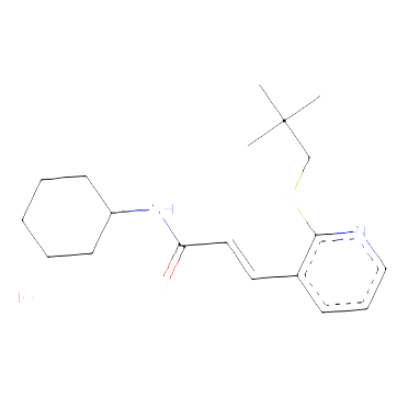 CC(C)(C)CSc1ncccc1/C=C/C(=O)NC1CCC[C@@H](O)C1